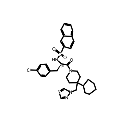 O=C([C@@H](Cc1ccc(Cl)cc1)NS(=O)(=O)c1ccc2ccccc2c1)N1CCC(Cn2cncn2)(C2CCCCC2)CC1